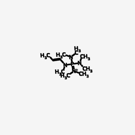 C/C=C/N(C)P(N(C)C)(N(C)C)=[N+](C)C